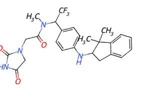 CN(C(=O)CN1CC(=O)NC1=O)C(c1ccc(NC2Cc3ccccc3C2(C)C)cc1)C(F)(F)F